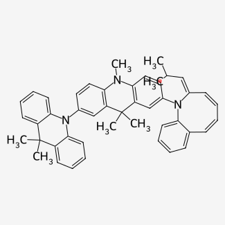 CC(C)/C=C1/C=C\C=C/c2ccccc2N1c1ccc2c(c1)C(C)(C)c1cc(N3c4ccccc4C(C)(C)c4ccccc43)ccc1N2C